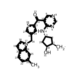 [CH2][C@@H]1C[C@@H](Nc2ncncc2C(=O)c2cc(Cn3ccc4ccc(C)cc43)cs2)C[C@@H]1O